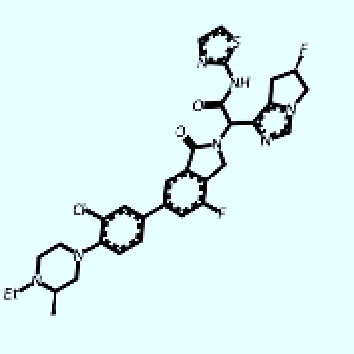 CCN1CCN(c2ccc(-c3cc(F)c4c(c3)C(=O)N(C(C(=O)Nc3nccs3)c3ncn5c3C[C@@H](F)C5)C4)cc2Cl)C[C@H]1C